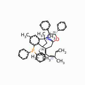 C=C/C(C)=C\C1=C(CC2=N[C@@H](c3ccccc3)[C@H](c3ccccc3)O2)[C@]2(CC1(C)C)CC(C)(C)c1cc(C)cc(P(c3ccccc3)c3ccccc3)c12